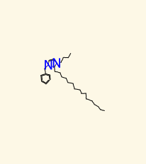 CCCCCCCCCCCCCCCCC1N(CCCC)C=CN1Cc1ccccc1